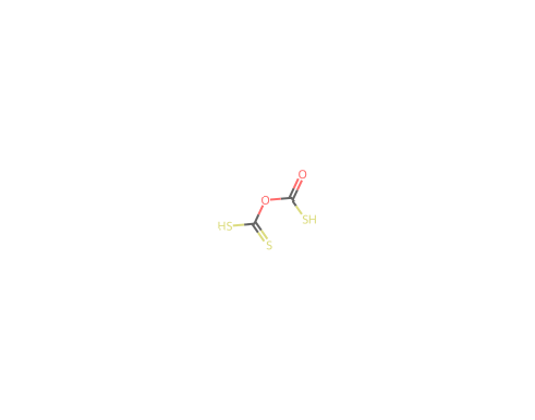 O=C(S)OC(=S)S